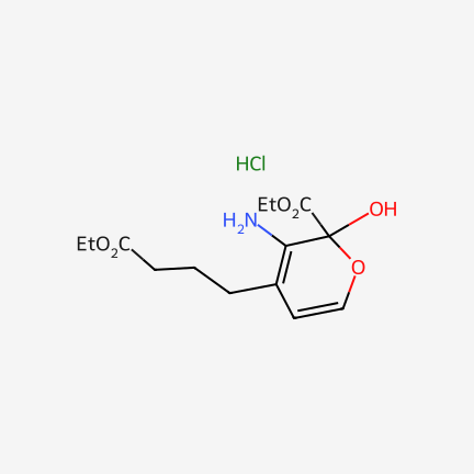 CCOC(=O)CCCC1=C(N)C(O)(C(=O)OCC)OC=C1.Cl